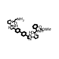 COC(=O)N[C@@H](C(=O)N1CCC[C@H]1c1ncc(-c2ccc(-c3ccc(C4CN=C([C@@H]5CCCN5C(=O)CN)N4)cc3)cc2)[nH]1)c1ccccc1